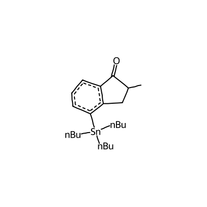 CCC[CH2][Sn]([CH2]CCC)([CH2]CCC)[c]1cccc2c1CC(C)C2=O